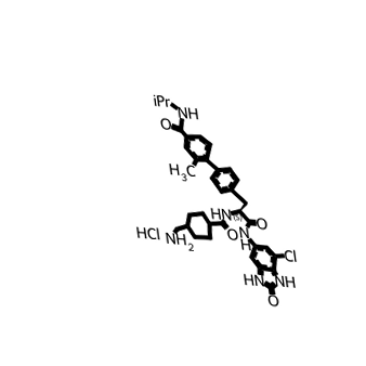 Cc1cc(C(=O)NC(C)C)ccc1-c1ccc(C[C@H](NC(=O)C2CCC(CN)CC2)C(=O)Nc2cc(Cl)c3[nH]c(=O)[nH]c3c2)cc1.Cl